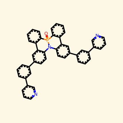 O=P12c3ccccc3-c3cc(-c4cccc(-c5cccnc5)c4)ccc3N1c1ccc(-c3cccc(-c4cccnc4)c3)cc1-c1ccccc12